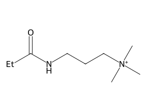 CCC(=O)NCCC[N+](C)(C)C